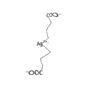 O=C([O-])CCCCCCCC(=O)[O-].[Ag+2]